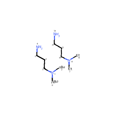 CCCCN(CCCC)CCCN.CCN(CC)CCCN